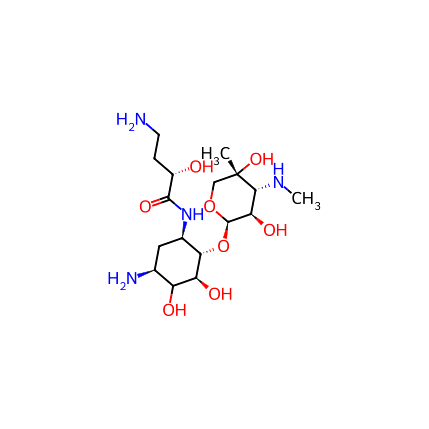 CN[C@@H]1[C@@H](O)[C@@H](O[C@H]2[C@H](NC(=O)[C@@H](O)CCN)C[C@H](N)C(O)[C@@H]2O)OC[C@]1(C)O